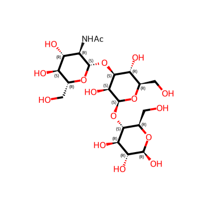 CC(=O)N[C@H]1[C@H](O[C@@H]2[C@H](O)[C@H](O[C@H]3[C@H](O)[C@@H](O)[C@H](O)O[C@@H]3CO)O[C@H](CO)[C@H]2O)O[C@H](CO)[C@@H](O)[C@@H]1O